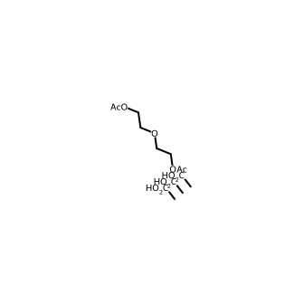 CC(=O)O.CC(=O)O.CC(=O)O.CC(=O)OCCOCCOC(C)=O